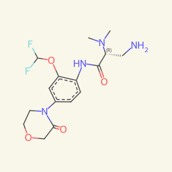 CN(C)[C@H](CN)C(=O)Nc1ccc(N2CCOCC2=O)cc1OC(F)F